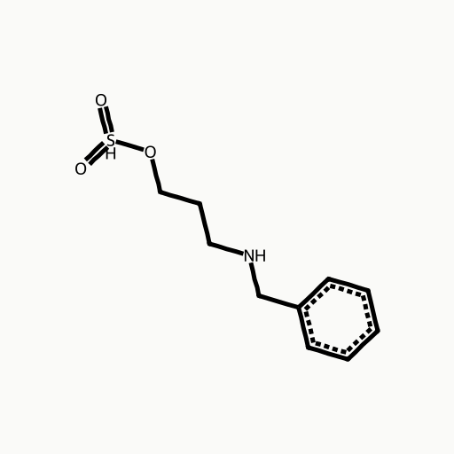 O=[SH](=O)OCCCNCc1ccccc1